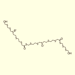 O=C(CSCCSCC[S+]([O-])CSCSCO)SCSCCSC[S+]([O-])CCSCCSCC(=O)SCSCSCO